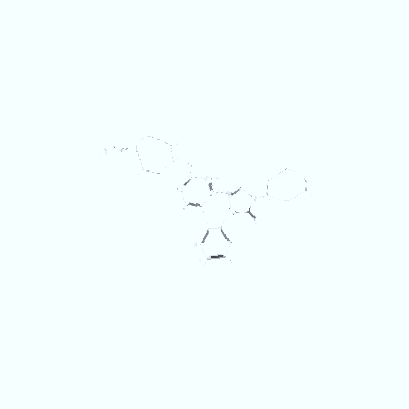 N[C@H]1CC[C@H](Nc2nccc(-c3cn(C4CCOCC4)c(=O)n3-c3ccc(F)cc3)n2)CC1